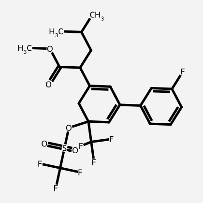 COC(=O)C(CC(C)C)C1=CC(c2cccc(F)c2)=CC(OS(=O)(=O)C(F)(F)F)(C(F)(F)F)C1